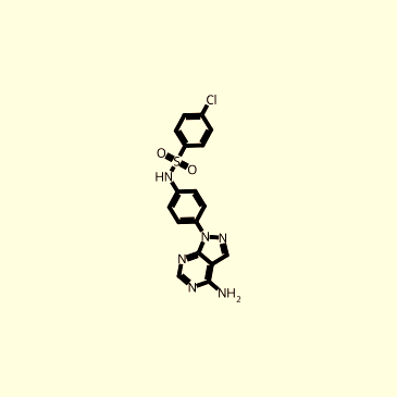 Nc1ncnc2c1cnn2-c1ccc(NS(=O)(=O)c2ccc(Cl)cc2)cc1